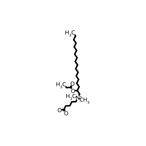 CCCCCCCCCCCCCCCCC(C[N+](C)(C)CCCCC(=O)[O-])OC(=O)CC